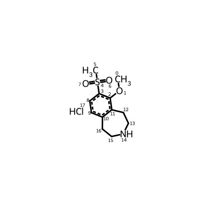 COc1c(S(C)(=O)=O)ccc2c1CCNCC2.Cl